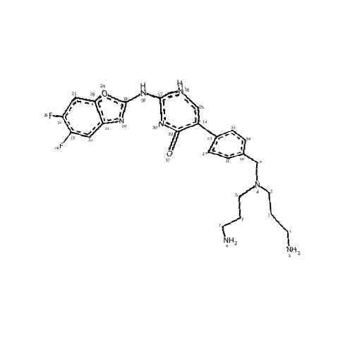 NCCCN(CCCN)Cc1ccc(-c2c[nH]c(Nc3nc4cc(F)c(F)cc4o3)nc2=O)cc1